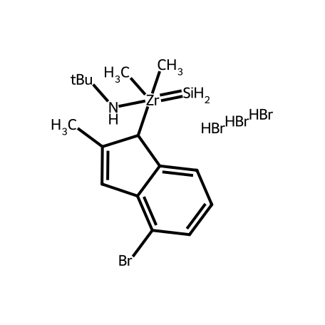 Br.Br.Br.CC1=Cc2c(Br)cccc2[CH]1[Zr]([CH3])([CH3])(=[SiH2])[NH]C(C)(C)C